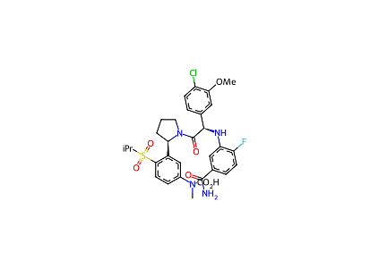 COc1cc([C@@H](Nc2cc(C(N)=O)ccc2F)C(=O)N2CCC[C@@H]2c2cc(N(C)C(=O)O)ccc2S(=O)(=O)C(C)C)ccc1Cl